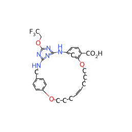 O=C(O)c1ccc2cc1OCCCC=CCCCOc1ccc(cc1)CNc1nc(nc(OCC(F)(F)F)n1)N2